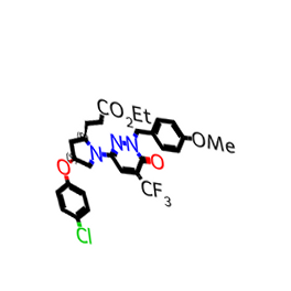 CCOC(=O)CC[C@@H]1C[C@H](Oc2ccc(Cl)cc2)CN1c1cc(C(F)(F)F)c(=O)n(Cc2ccc(OC)cc2)n1